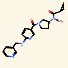 CN(C(=O)C1CC1)[C@H]1CCN(C(=O)c2ccc(NCc3cccnc3)nc2)C1